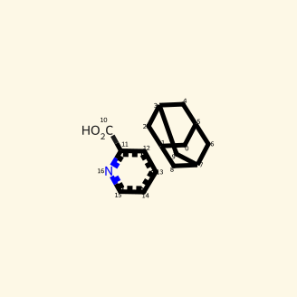 C1C2CC3CC1CC(C2)C3.O=C(O)c1ccccn1